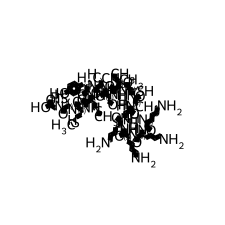 CC[C@H](C)[C@H](NC(=O)[C@H](CS)NC(=O)[C@H](C)NC(=O)CNC(=O)[C@H](CCCCN)NC(=O)[C@H](CCCCN)NC(=O)[C@H](CCCCN)NC(=O)[C@@H](N)CCCCN)C(=O)N[C@@H](CO)C(=O)N[C@H](C(=O)N[C@@H](Cc1ccc(O)cc1)C(=O)N[C@@H](CCSC)C(=O)N[C@@H](CCSC)C(=O)N[C@@H](CS)C(=O)NCC(=O)O)C(C)C